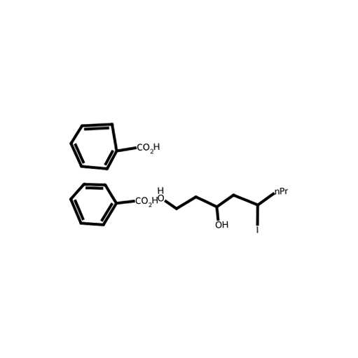 CCCC(I)CC(O)CCO.O=C(O)c1ccccc1.O=C(O)c1ccccc1